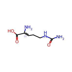 NC(=O)NCC/C=C(\N)C(=O)O